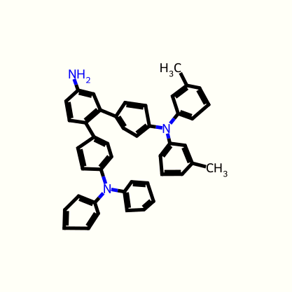 Cc1cccc(N(c2ccc(-c3cc(N)ccc3-c3ccc(N(c4ccccc4)c4ccccc4)cc3)cc2)c2cccc(C)c2)c1